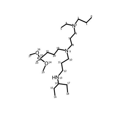 CCCN(CC)CCCN(CCCNC(CC)CC)CCC[Si](C)(OC)OC